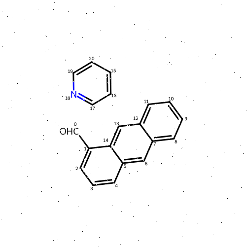 O=Cc1cccc2cc3ccccc3cc12.c1ccncc1